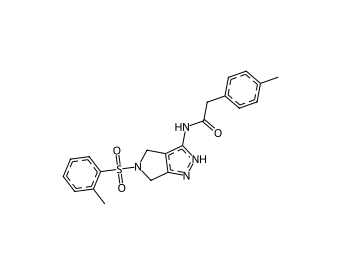 Cc1ccc(CC(=O)Nc2[nH]nc3c2CN(S(=O)(=O)c2ccccc2C)C3)cc1